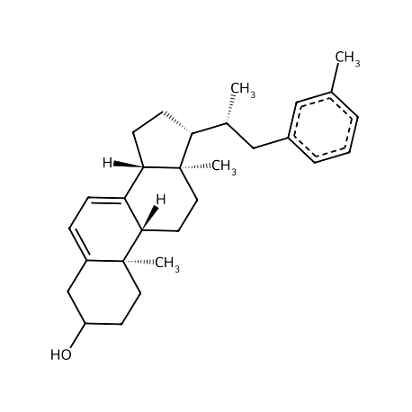 Cc1cccc(C[C@@H](C)[C@H]2CC[C@H]3C4=CC=C5CC(O)CC[C@]5(C)[C@H]4CC[C@]23C)c1